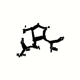 COC(=O)c1scc(Br)c1NC(N)=O